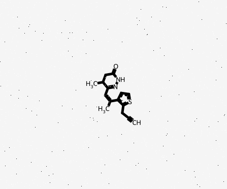 C#CCc1sccc1C(C)=CC1=NNC(=O)CC1C